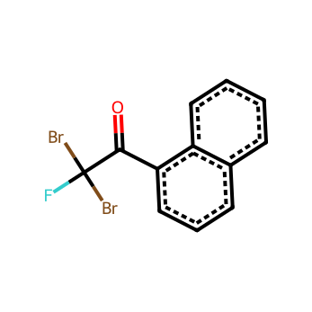 O=C(c1cccc2ccccc12)C(F)(Br)Br